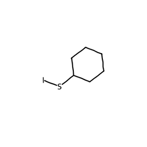 ISC1CCCCC1